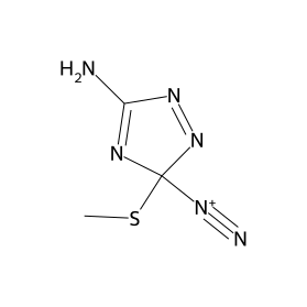 CSC1([N+]#N)N=NC(N)=N1